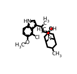 COc1ccc2[nH]cc(C(C)CC(=O)N3C4CC(C)CC3CC(C)(O)C4)c2c1Cl